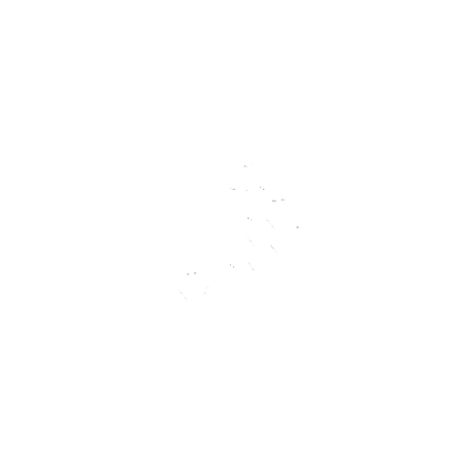 O=C(NCc1ccc(F)cc1F)c1cn2c(c(O)c1=O)C(=O)N1C[C@@H]3CCC[C@]1(C3)C2